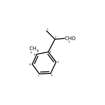 C.CC(C=O)c1ccccc1